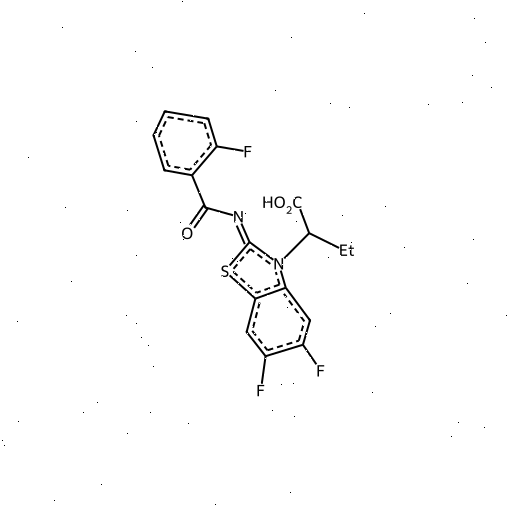 CCC(C(=O)O)n1c(=NC(=O)c2ccccc2F)sc2cc(F)c(F)cc21